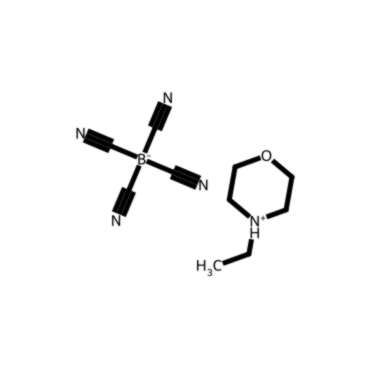 CC[NH+]1CCOCC1.N#C[B-](C#N)(C#N)C#N